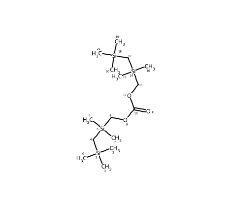 C[Si](C)(C)C[Si](C)(C)COC(=O)OC[Si](C)(C)C[Si](C)(C)C